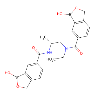 C[C@H](CN(CC(=O)O)C(=O)c1ccc2c(c1)B(O)OC2)NC(=O)c1ccc2c(c1)B(O)OC2